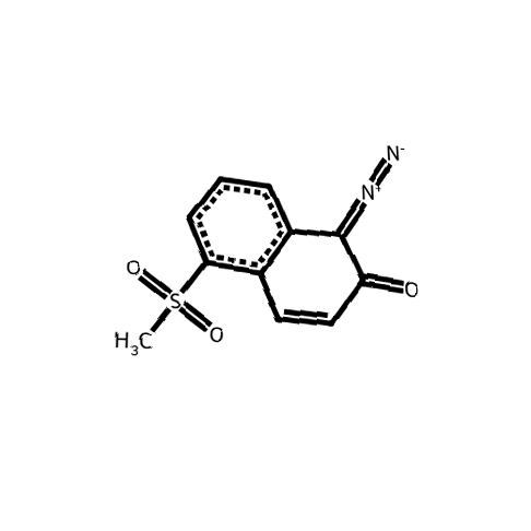 CS(=O)(=O)c1cccc2c1C=CC(=O)C2=[N+]=[N-]